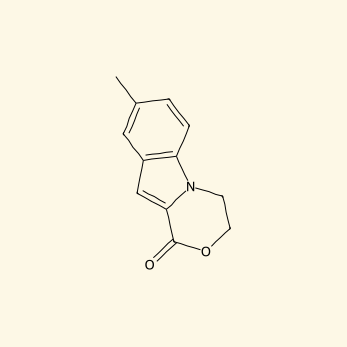 Cc1ccc2c(c1)cc1n2CCOC1=O